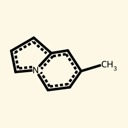 Cc1ccn2cccc2c1